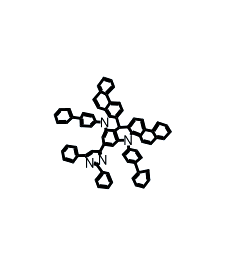 c1ccc(-c2ccc(N3c4cc(-c5cc(-c6ccccc6)nc(-c6ccccc6)n5)cc5c4C(c4ccc6c(ccc7ccccc76)c43)c3ccc4c(ccc6ccccc64)c3N5c3ccc(-c4ccccc4)cc3)cc2)cc1